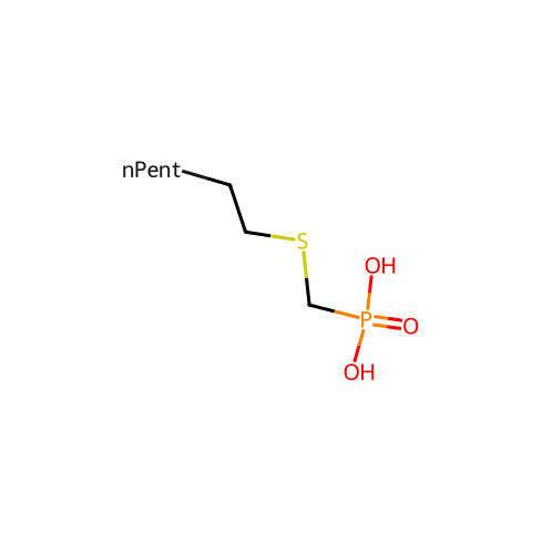 CCCCCCCSCP(=O)(O)O